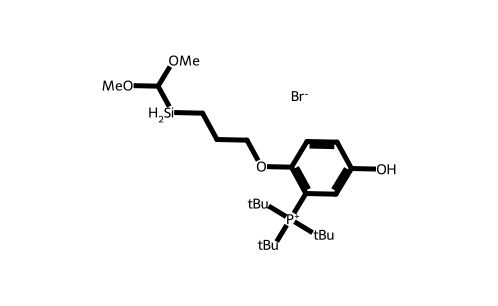 COC(OC)[SiH2]CCCOc1ccc(O)cc1[P+](C(C)(C)C)(C(C)(C)C)C(C)(C)C.[Br-]